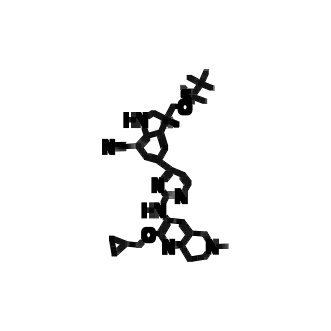 CN1CCc2nc(OCC3CC3)c(Nc3nccc(-c4cc(C#N)c5c(c4)[C@@](C)(CO[Si](C)(C)C(C)(C)C)CN5)n3)cc2C1